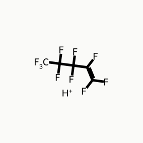 FC(F)=C(F)C(F)(F)C(F)(F)C(F)(F)F.[H+]